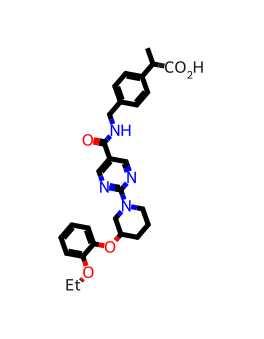 CCOc1ccccc1OC1CCCN(c2ncc(C(=O)NCc3ccc(C(C)C(=O)O)cc3)cn2)C1